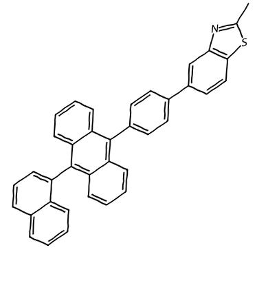 Cc1nc2cc(-c3ccc(-c4c5ccccc5c(-c5cccc6ccccc56)c5ccccc45)cc3)ccc2s1